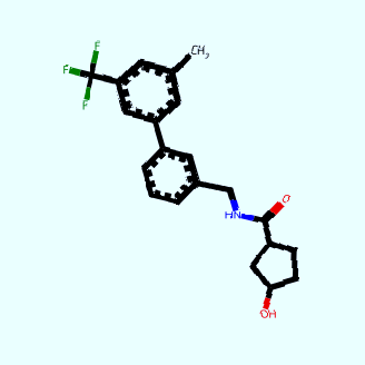 Cc1cc(-c2cccc(CNC(=O)C3CCC(O)C3)c2)cc(C(F)(F)F)c1